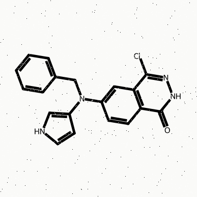 O=c1[nH]nc(Cl)c2cc(N(Cc3ccccc3)c3cc[nH]c3)ccc12